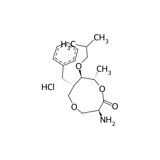 CC(C)CO[C@@H]1[C@@H](Cc2ccccc2)COC[C@H](N)C(=O)O[C@H]1C.Cl